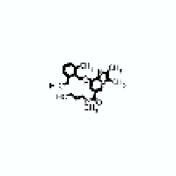 CCc1cccc(C)c1CNc1cc(C(=O)N(C)CCCO)cn2c(C)c(C)nc12